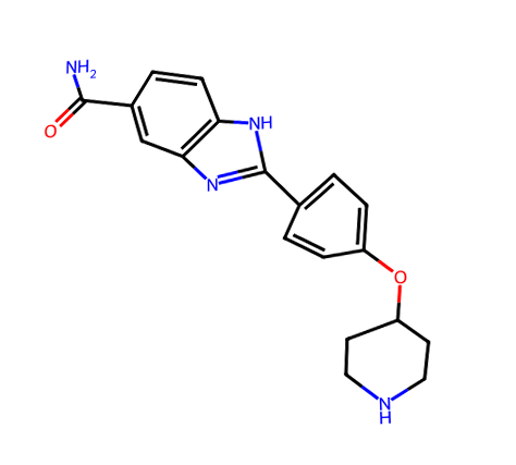 NC(=O)c1ccc2[nH]c(-c3ccc(OC4CCNCC4)cc3)nc2c1